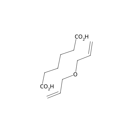 C=CCOCC=C.O=C(O)CCCCC(=O)O